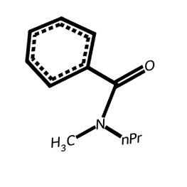 CCCN(C)C(=O)c1ccccc1